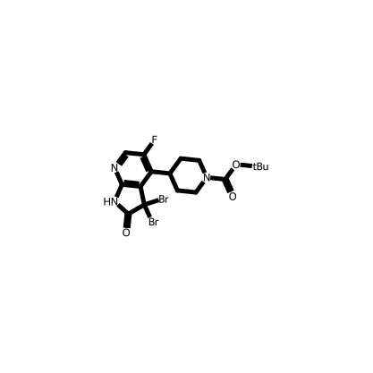 CC(C)(C)OC(=O)N1CCC(c2c(F)cnc3c2C(Br)(Br)C(=O)N3)CC1